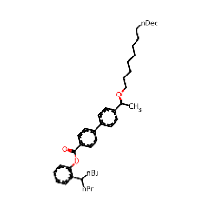 CCCCCCCCCCCCCCCCCCOC(C)c1ccc(-c2ccc(C(=O)Oc3ccccc3C(CCC)CCCC)cc2)cc1